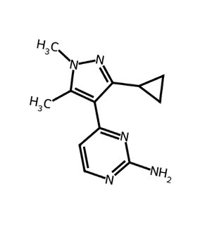 Cc1c(-c2ccnc(N)n2)c(C2CC2)nn1C